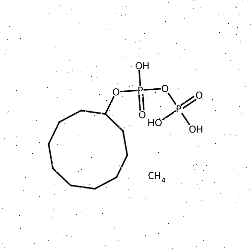 C.O=P(O)(O)OP(=O)(O)OC1CCCCCCCCC1